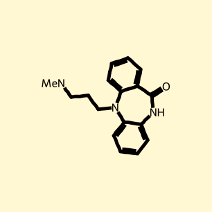 CNCCCN1c2ccccc2NC(=O)c2ccccc21